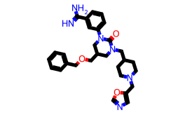 N=C(N)c1cccc(N2CC(COCc3ccccc3)CN(CC3CCN(Cc4cnco4)CC3)C2=O)c1